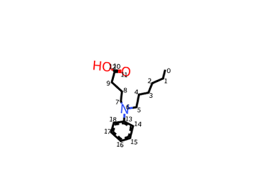 CCCCCCN(CCCC(=O)O)c1ccccc1